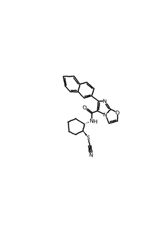 N#CS[C@H]1CCCC[C@@H]1NC(=O)c1c(-c2ccc3ccccc3c2)nc2occn12